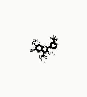 COC(=O)c1c(C)c(-c2cccc(C(F)(F)F)c2)nc2cc(OC)c(Br)cc12